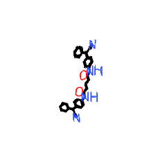 N#CC(c1ccccc1)c1ccc(NC(=O)CCCC(=O)Nc2ccc(C(C#N)c3ccccc3)cc2)cc1